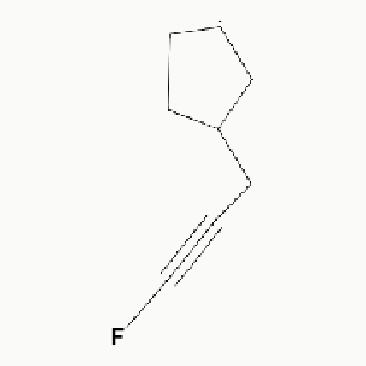 FC#CCC1C[CH]CC1